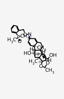 CC1O[C@@H]2C[C@H]3[C@@H]4CCC5=C/C(=N/OCc6ccccc6P(C)(C)=O)C=C[C@]5(C)[C@H]4[C@@H](O)C[C@]3(C)[C@]2(C(=O)CO)O1